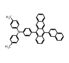 Cc1ccc(N(c2ccc(C)cc2)c2ccc(-c3c4ccccc4c(-c4ccc5ccccc5c4)c4cc5ccccc5cc34)cc2)cc1